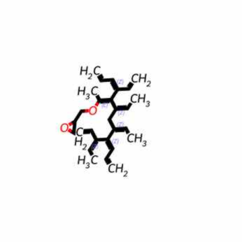 C=C/C=C(C(\C=C)=C/C)/C(=C\C)CC(=C/C)/C(C(/C=C)=C\C=C)=C(/C)OCC1CO1